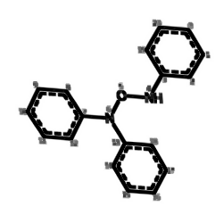 c1ccc(NON(c2ccccc2)c2ccccc2)cc1